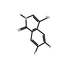 [2H]c1cn(C)c(=O)c2cc(F)c(F)cc12